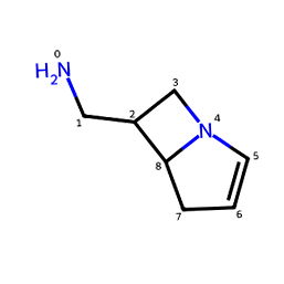 NCC1CN2C=CCC12